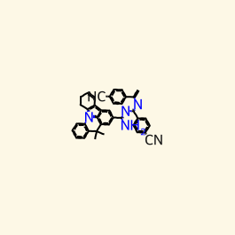 C=C(/N=C(\N=C(/N)c1cc2c3c(c1)c1c(n3-c3ccccc3C2(C)C)CCC=C1)c1ccc(C#N)cc1)c1ccc(C#N)cc1